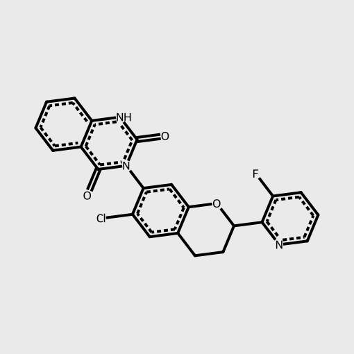 O=c1[nH]c2ccccc2c(=O)n1-c1cc2c(cc1Cl)CCC(c1ncccc1F)O2